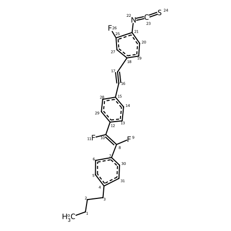 CCCCc1ccc(/C(F)=C(\F)c2ccc(C#Cc3ccc(N=C=S)c(F)c3)cc2)cc1